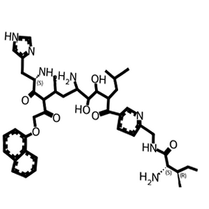 CC[C@@H](C)[C@H](N)C(=O)NCc1ccc(C(=O)C(CC(C)C)C(O)C(O)C(N)CC(C)C(C(=O)COc2cccc3ccccc23)C(=O)[C@@H](N)Cc2c[nH]cn2)cn1